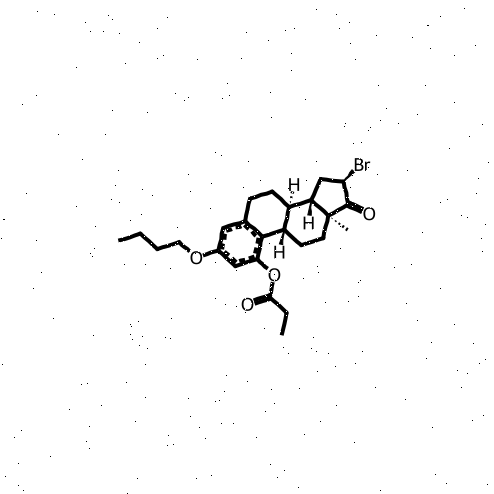 CCCCOc1cc2c(c(OC(=O)CC)c1)[C@H]1CC[C@]3(C)C(=O)[C@H](Br)C[C@H]3[C@@H]1CC2